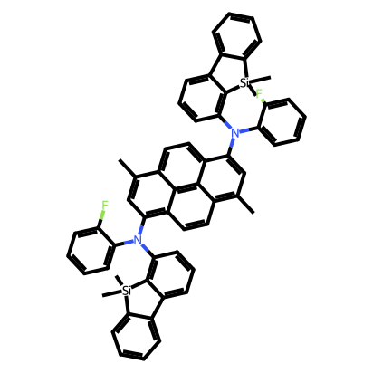 Cc1cc(N(c2ccccc2F)c2cccc3c2[Si](C)(C)c2ccccc2-3)c2ccc3c(C)cc(N(c4ccccc4F)c4cccc5c4[Si](C)(C)c4ccccc4-5)c4ccc1c2c34